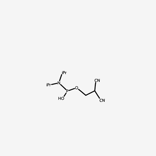 CC(C)N(C(C)C)P(O)OCC(C#N)C#N